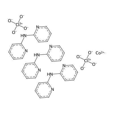 [Co+2].[O-][Cl+3]([O-])([O-])[O-].[O-][Cl+3]([O-])([O-])[O-].c1ccc(Nc2ccccn2)nc1.c1ccc(Nc2ccccn2)nc1.c1ccc(Nc2ccccn2)nc1